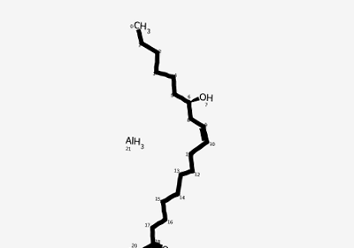 CCCCCC[C@@H](O)C/C=C\CCCCCCCC(=O)O.[AlH3]